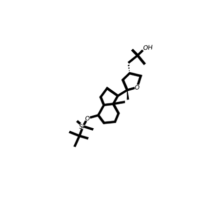 CC(C)(O)C[C@@H]1CO[C@](C)(C2CCC3C(O[Si](C)(C)C(C)(C)C)CCCC32C)C1